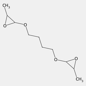 CC1OC1OCCCCOC1OC1C